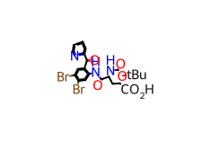 CC(C)(C)OC(=O)NC(CCC(=O)O)C(=O)Nc1cc(Br)c(Br)cc1C(=O)c1ccccn1